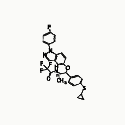 C[C@H](NC(=O)C(F)(F)F)C(Oc1ccc2c(cnn2-c2ccc(F)cc2)c1)c1ccc(SC2CC2)cc1